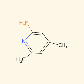 Cc1cc(C)nc(P)c1